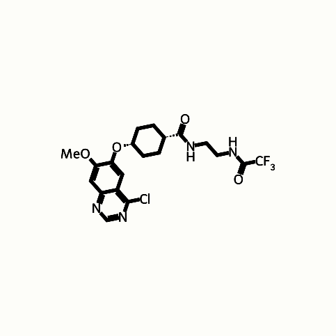 COc1cc2ncnc(Cl)c2cc1O[C@H]1CC[C@@H](C(=O)NCCNC(=O)C(F)(F)F)CC1